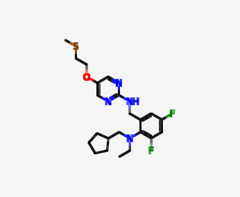 CCN(CC1CCCC1)c1c(F)cc(F)cc1CNc1ncc(OCCSC)cn1